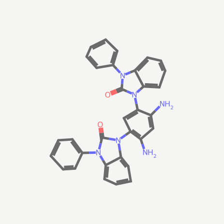 Nc1cc(N)c(-n2c(=O)n(-c3ccccc3)c3ccccc32)cc1-n1c(=O)n(-c2ccccc2)c2ccccc21